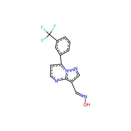 O/N=C/c1cnn2c(-c3cccc(C(F)(F)F)c3)ccnc12